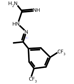 C/C(=N\NC(=N)N)c1cc(C(F)(F)F)cc(C(F)(F)F)c1